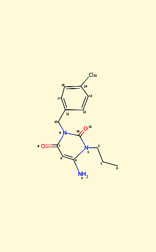 CCCn1c(N)cc(=O)n(Cc2ccc(Cl)cc2)c1=O